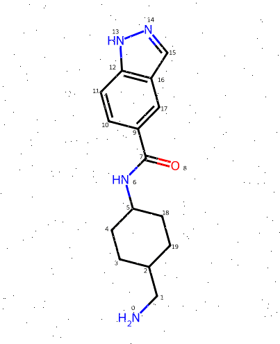 NCC1CCC(NC(=O)c2ccc3[nH]ncc3c2)CC1